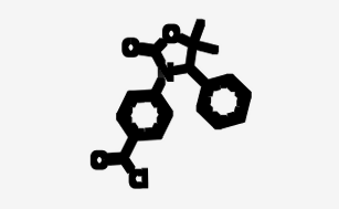 CC1(C)OC(=O)N(c2ccc(C(=O)Cl)cc2)C1c1ccccc1